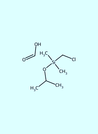 CC(C)O[Si](C)(C)CCl.O=CO